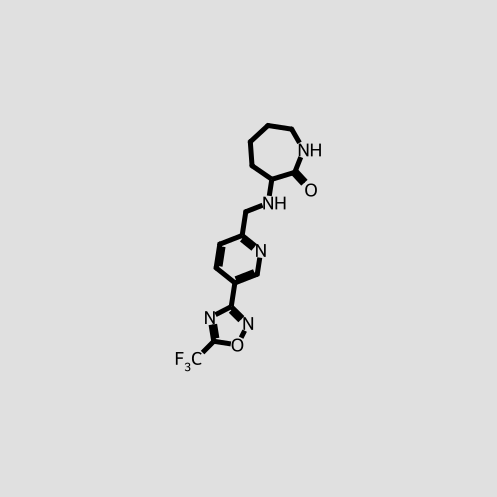 O=C1NCCCCC1NCc1ccc(-c2noc(C(F)(F)F)n2)cn1